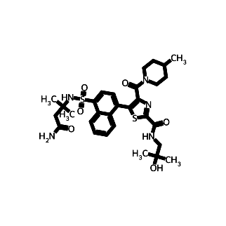 CC1CCN(C(=O)c2nc(C(=O)NCC(C)(C)O)sc2-c2ccc(S(=O)(=O)NC(C)(C)CC(N)=O)c3ccccc23)CC1